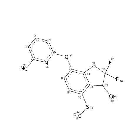 N#Cc1cccc(Oc2ccc(SC(F)(F)F)c3c2CC(F)(F)C3O)n1